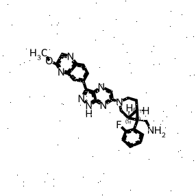 COc1cnc2ccc(-c3n[nH]c4nc(N5CC[C@@H]6[C@H](C5)[C@@]6(CN)c5ccccc5F)cnc34)cc2n1